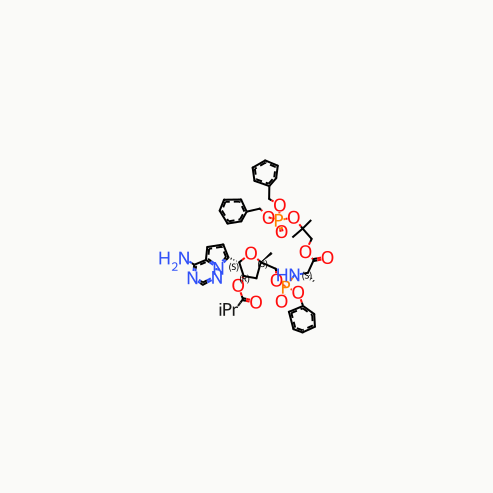 CC(C)C(=O)O[C@@H]1C[C@@](C)(COP(=O)(N[C@@H](C)C(=O)OCC(C)(C)OP(=O)(OCc2ccccc2)OCc2ccccc2)Oc2ccccc2)O[C@H]1c1ccc2c(N)ncnn12